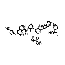 Cc1c(Nc2nccc3cc(CN4CC[C@@H](O)C4)cnc23)cccc1-c1cccc(-c2cc3nc(CN4CCC(C(=O)O)C4)ccc3[nH]2)c1C.O=C(O)C(F)(F)F